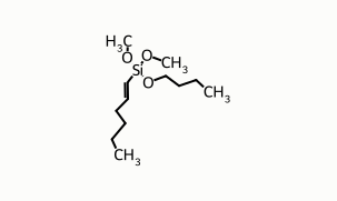 CCCCC=C[Si](OC)(OC)OCCCC